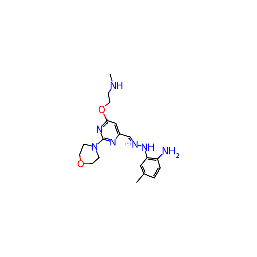 CNCCOc1cc(/C=N/Nc2cc(C)ccc2N)nc(N2CCOCC2)n1